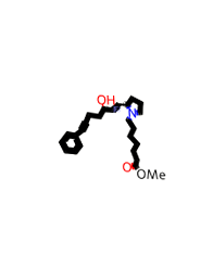 COC(=O)CCCCCCN1CCC[C@@H]1/C=C/[C@@H](O)CCC#Cc1ccccc1